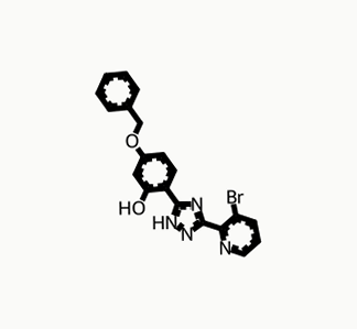 Oc1cc(OCc2ccccc2)ccc1-c1nc(-c2ncccc2Br)n[nH]1